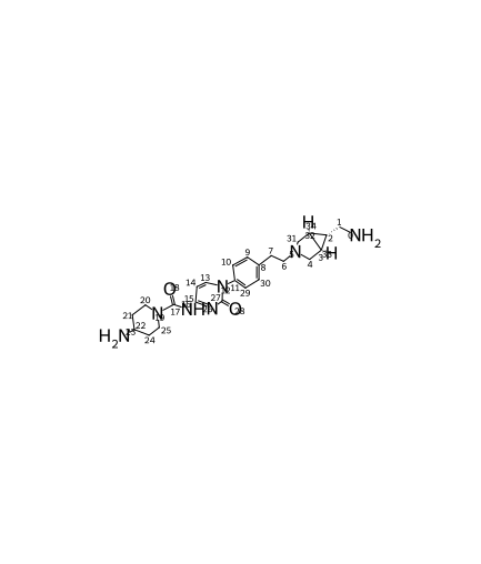 NC[C@@H]1[C@H]2CN(CCc3ccc(-n4ccc(NC(=O)N5CCC(N)CC5)nc4=O)cc3)C[C@@H]12